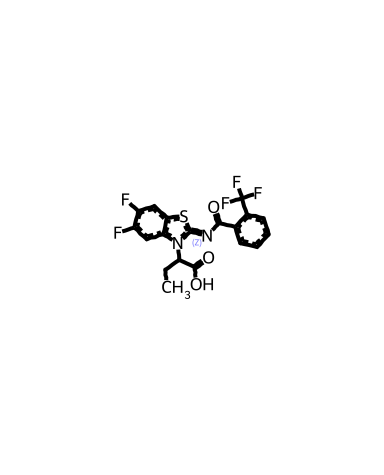 CCC(C(=O)O)n1/c(=N/C(=O)c2ccccc2C(F)(F)F)sc2cc(F)c(F)cc21